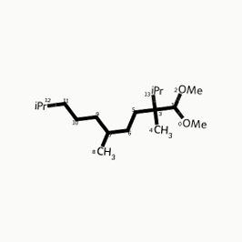 COC(OC)C(C)(CCC(C)CCCC(C)C)C(C)C